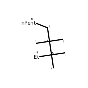 CCCCC[CH]C(C)(C)C(C)(C)CC